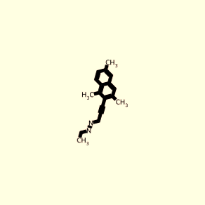 CCN=NCC#Cc1c(C)cc2cc(C)ccc2c1C